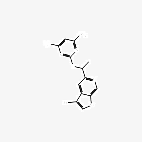 CC(Sc1nc(N)cc(C(F)(F)F)n1)c1cc2c(Br)c[nH]c2cn1